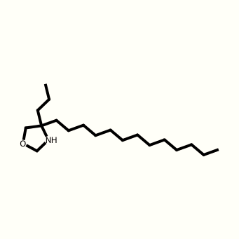 CCCCCCCCCCCCCC1(CCC)COCN1